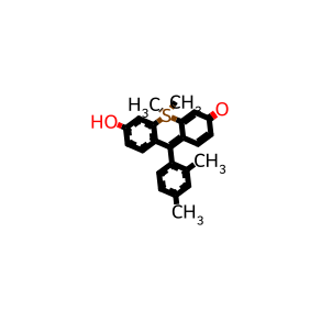 Cc1ccc(C2=C3C=CC(=O)C=C3S(C)(C)c3cc(O)ccc32)c(C)c1